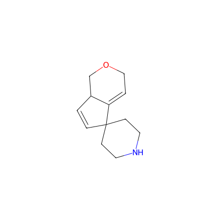 C1=CC2(CCNCC2)C2=CCOCC12